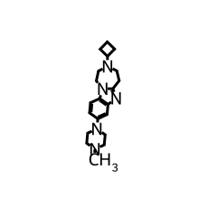 CN1CCN(c2ccc3c(c2)nc2n3CCN(C3CCC3)CC2)CC1